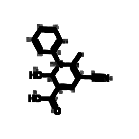 CC1=C(C#N)C=C(C(=O)O)C(O)N1c1ccccc1